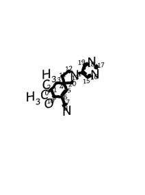 CC1(C)CC2(C=C(C#N)C1=O)CCN(c1cncnc1)C2